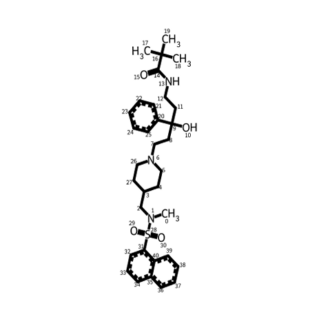 CN(CC1CCN(CCC(O)(CCNC(=O)C(C)(C)C)c2ccccc2)CC1)S(=O)(=O)c1cccc2ccccc12